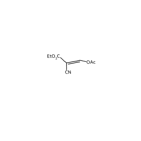 CCOC(=O)C(C#N)=COC(C)=O